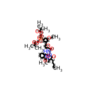 CCCCCC(C(=O)NCNC(=O)c1ccc(-c2cc(OCC)cc(P(=O)(OCOC(=O)C(C)C)OCOC(=O)C(C)C)c2)o1)C(CC)N(C=O)OCc1ccccc1